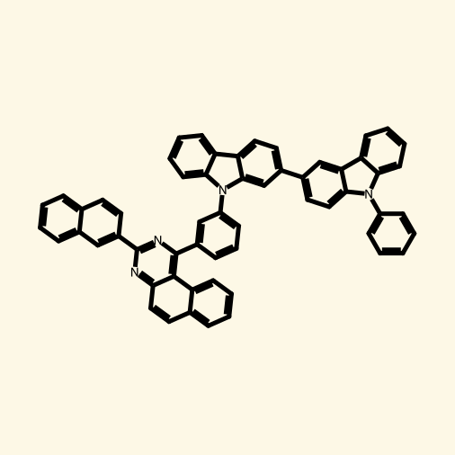 c1ccc(-n2c3ccccc3c3cc(-c4ccc5c6ccccc6n(-c6cccc(-c7nc(-c8ccc9ccccc9c8)nc8ccc9ccccc9c78)c6)c5c4)ccc32)cc1